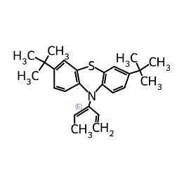 C=C/C(=C\C)N1c2ccc(C(C)(C)C)cc2Sc2cc(C(C)(C)C)ccc21